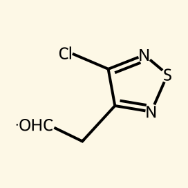 O=[C]Cc1nsnc1Cl